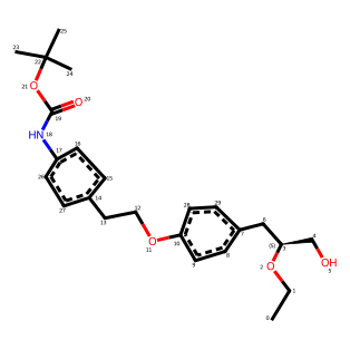 CCO[C@H](CO)Cc1ccc(OCCc2ccc(NC(=O)OC(C)(C)C)cc2)cc1